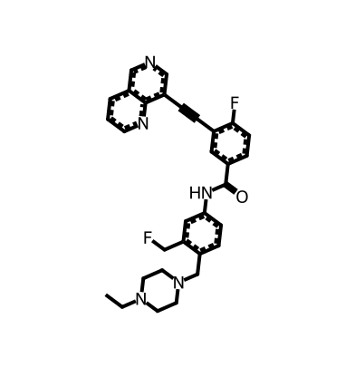 CCN1CCN(Cc2ccc(NC(=O)c3ccc(F)c(C#Cc4cncc5cccnc45)c3)cc2CF)CC1